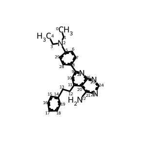 CCN(CC)c1ccc(-c2cc(CCc3ccccc3)c3c(N)ncnc3n2)cc1